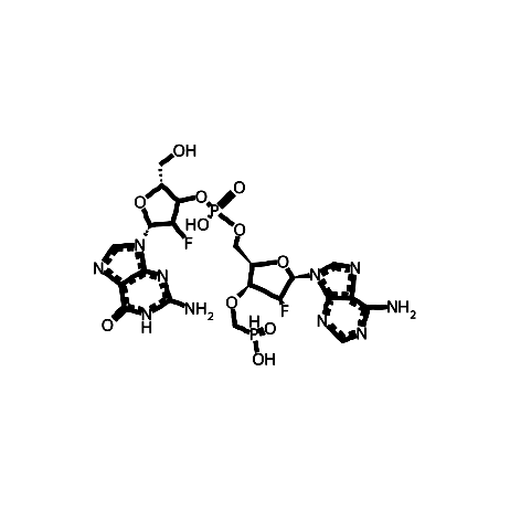 Nc1nc2c(ncn2[C@@H]2O[C@H](CO)C(OP(=O)(O)OC[C@H]3O[C@@H](n4cnc5c(N)ncnc54)[C@@H](F)[C@H]3OC[PH](=O)O)C2F)c(=O)[nH]1